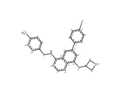 Cc1ccc(CNc2ncnc3c(OC4COC4)cc(-c4ccc(F)cc4)cc23)nn1